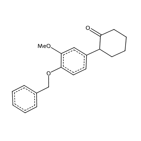 COc1cc(C2CCCCC2=O)ccc1OCc1ccccc1